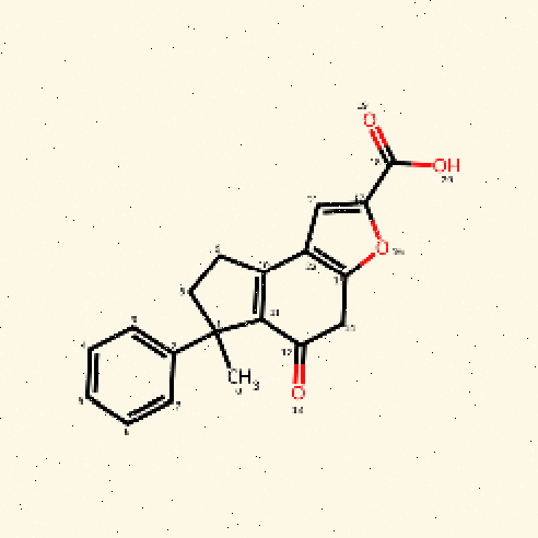 CC1(c2ccccc2)CCC2=C1C(=O)Cc1oc(C(=O)O)cc12